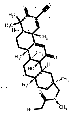 CN(C[C@@]1(C)CC[C@]2(C)CC[C@@]3(C)[C@]4(C)CC[C@H]5C(C)(C)C(=O)C(C#N)=C[C@]5(C)C4=CC(=O)[C@]3(O)[C@@H]2C1)C(=O)CO